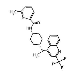 Cc1cccc(C(=O)N[C@H]2CC[C@@H](N(C)c3cc(C(F)(F)F)nc4ccccc34)CC2)n1